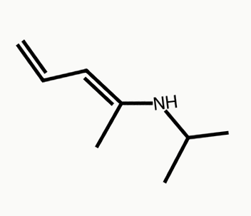 C=C/C=C(\C)NC(C)C